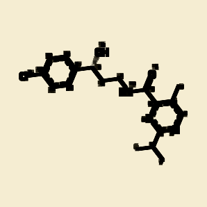 Cc1cnc(C(C)C)nc1C(=O)NCC[C@@H](O)c1ccc(Cl)cc1